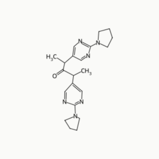 CC(C(=O)C(C)c1cnc(N2CCCC2)nc1)c1cnc(N2CCCC2)nc1